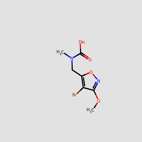 COc1noc(CN(C)C(=O)O)c1Br